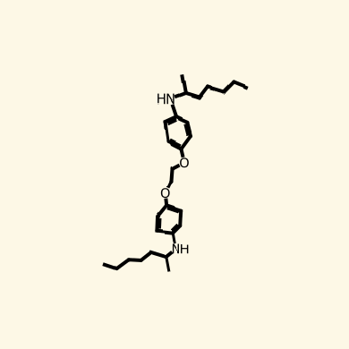 CCCCCC(C)Nc1ccc(OCCOc2ccc(NC(C)CCCCC)cc2)cc1